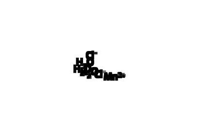 O.O.O.[Cl-].[Cl-].[Mn+2]